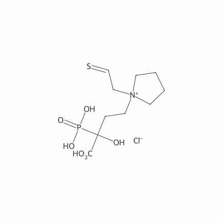 O=C(O)C(O)(CC[N+]1(CC=S)CCCC1)P(=O)(O)O.[Cl-]